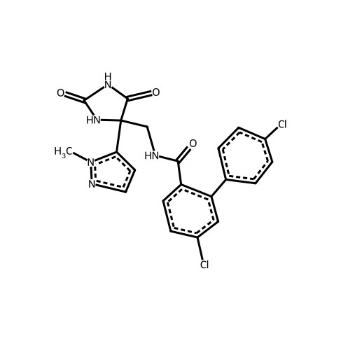 Cn1nccc1C1(CNC(=O)c2ccc(Cl)cc2-c2ccc(Cl)cc2)NC(=O)NC1=O